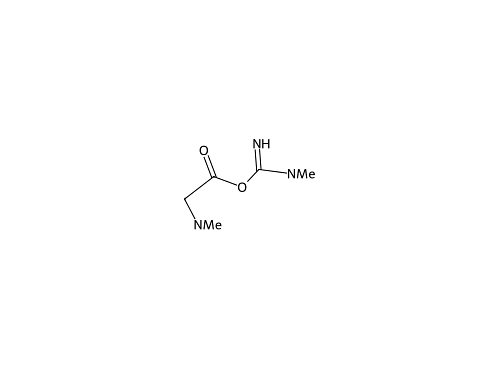 CNCC(=O)OC(=N)NC